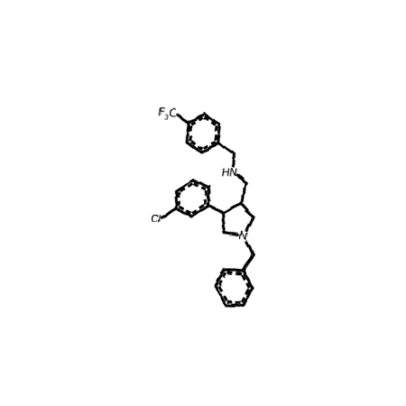 FC(F)(F)c1ccc(CNCC2CN(Cc3ccccc3)CC2c2cccc(Cl)c2)cc1